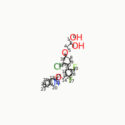 OCC(O)CCOc1ccc(-c2cc(COc3cc4c(cn3)C3CC3C4)c(F)cc2F)c(Cl)c1